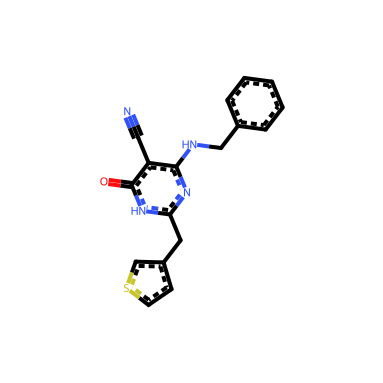 N#Cc1c(NCc2ccccc2)nc(Cc2ccsc2)[nH]c1=O